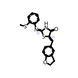 CSc1ccccc1/N=C1\NC(=O)/C(=C/c2ccc3c(c2)CCO3)S1